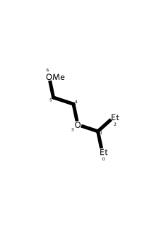 [CH2]CC(CC)OCCOC